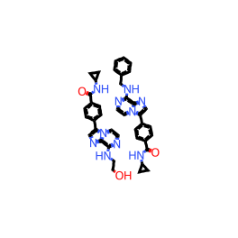 O=C(NC1CC1)c1ccc(-c2cnc3c(NCCO)nccn23)cc1.O=C(NC1CC1)c1ccc(-c2cnc3c(NCc4ccccc4)nccn23)cc1